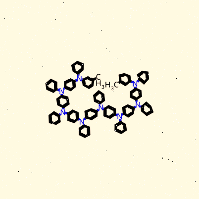 Cc1cccc(N(c2ccccc2)c2ccc(N(c3ccccc3)c3ccc(N(c4ccccc4)c4ccc(N(c5ccccc5)c5ccc(N(c6ccccc6)c6ccc(N(c7ccccc7)c7ccc(N(c8ccccc8)c8ccc(N(c9ccccc9)c9cccc(C)c9)cc8)cc7)cc6)cc5)cc4)cc3)cc2)c1